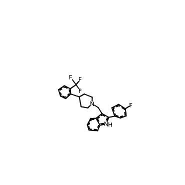 Fc1ccc(-c2[nH]c3ccccc3c2CN2CCC(c3ccccc3C(F)(F)F)CC2)cc1